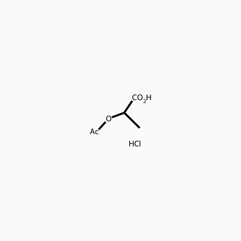 CC(=O)OC(C)C(=O)O.Cl